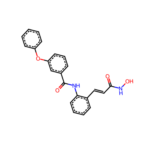 O=C(C=Cc1ccccc1NC(=O)c1cccc(Oc2ccccc2)c1)NO